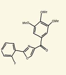 COc1cc(C(=O)c2coc(-c3ccccc3F)n2)cc(OC)c1OC